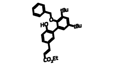 CCOC(=O)/C=C/c1ccc(O)c(-c2cc(C(C)(C)C)cc(C(C)(C)C)c2OCc2ccccc2)c1